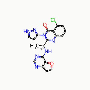 C[C@H](Nc1ncnc2ccoc12)c1nc2cccc(Cl)c2c(=O)n1-c1cc[nH]n1